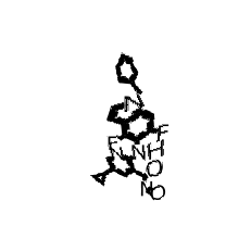 O=NC(=O)c1cc(C2CC2)cnc1Nc1c(F)cc2c(ccn2Cc2ccccc2)c1F